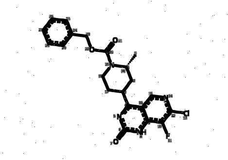 C[C@@H]1CC(c2nc(=O)[nH]c3c(F)c(Cl)ncc23)CCN1C(=O)OCc1ccccc1